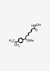 COC(C/C=C/C=C/C(=O)NO)c1ccc(N(C)C)cc1